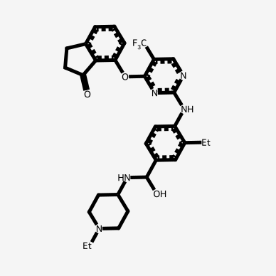 CCc1cc(C(O)NC2CCN(CC)CC2)ccc1Nc1ncc(C(F)(F)F)c(Oc2cccc3c2C(=O)CC3)n1